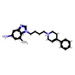 Cc1cc(N)cc2ncn(CCCCN3CC=C(c4ccccc4)CC3)c12